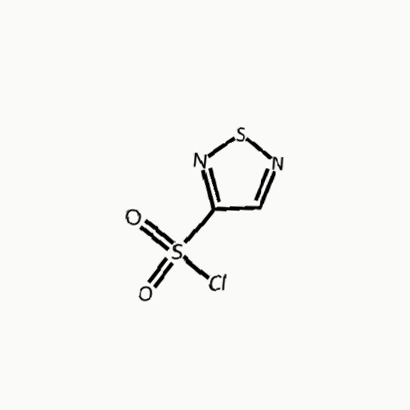 O=S(=O)(Cl)c1cnsn1